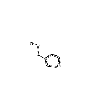 [N]OCc1ccncc1